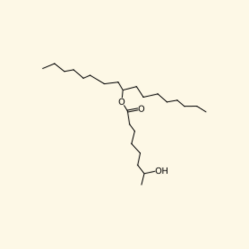 CCCCCCCCC(CCCCCCCC)OC(=O)CCCCCC(C)O